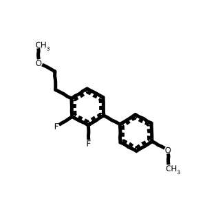 COCCc1ccc(-c2ccc(OC)cc2)c(F)c1F